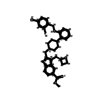 COC(=O)c1ccc2nc(CN3CCC(c4ccccc4OCc4ccc(Cl)cc4F)CC3)n(C[C@@H]3CCO3)c2c1